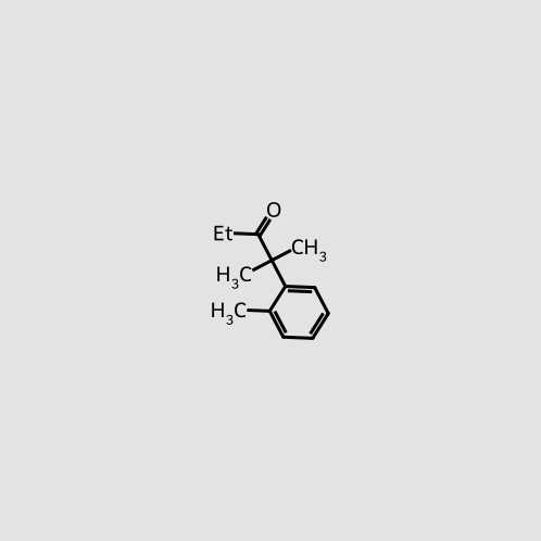 CCC(=O)C(C)(C)c1ccccc1C